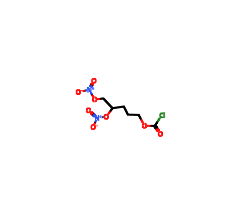 O=C(Cl)OCCCC(CO[N+](=O)[O-])O[N+](=O)[O-]